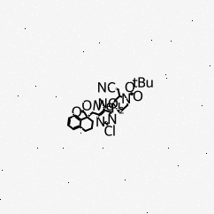 COC(=O)C1(Cc2nc(Cl)nc(N3CCN(C(=O)OC(C)(C)C)C(CC#N)C3)c2[N+](=O)[O-])CCCc2ccccc21